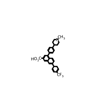 CN1CCC(c2ccc(-c3cc(C(=O)O)cc4cc(C5C=CC(C(F)(F)F)=CC5)ccc34)cc2)CC1